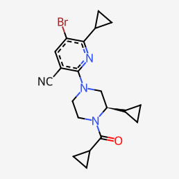 N#Cc1cc(Br)c(C2CC2)nc1N1CCN(C(=O)C2CC2)[C@H](C2CC2)C1